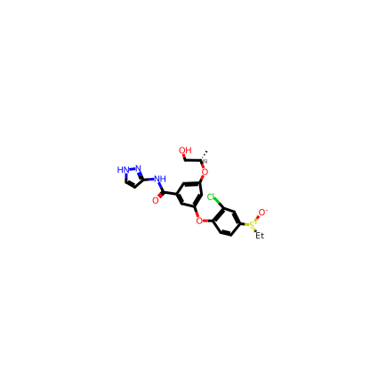 CC[S+]([O-])c1ccc(Oc2cc(O[C@@H](C)CO)cc(C(=O)Nc3cc[nH]n3)c2)c(Cl)c1